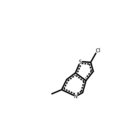 Cc1cc2sc(Cl)cc2cn1